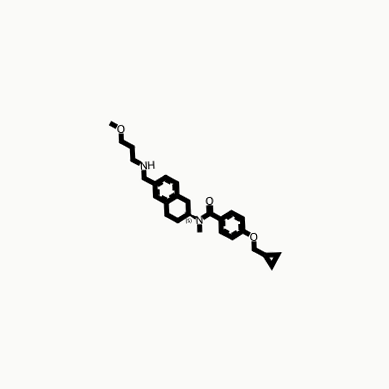 COCCCNCc1ccc2c(c1)CC[C@H](N(C)C(=O)c1ccc(OCC3CC3)cc1)C2